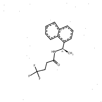 C[C@@H](NC(=O)CCC(F)(F)F)c1cccc2ccccc12